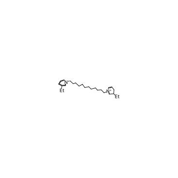 CCc1ccc[n+](CCCCCCCCCCCC[N+]2=CC(CC)CC=C2)c1